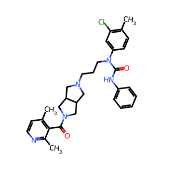 Cc1ccc(N(CCCN2CC3CN(C(=O)c4c(C)ccnc4C)CC3C2)C(=O)Nc2ccccc2)cc1Cl